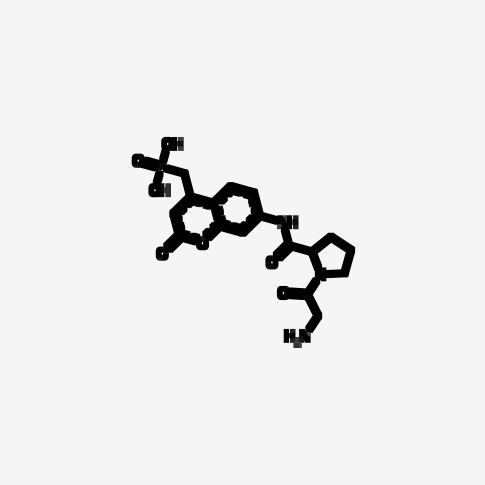 NCC(=O)N1CCCC1C(=O)Nc1ccc2c(CP(=O)(O)O)cc(=O)oc2c1